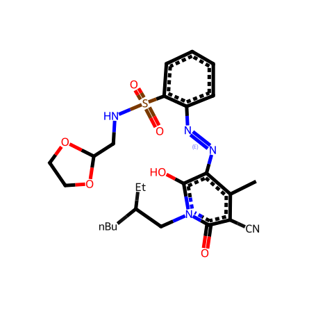 CCCCC(CC)Cn1c(O)c(/N=N/c2ccccc2S(=O)(=O)NCC2OCCO2)c(C)c(C#N)c1=O